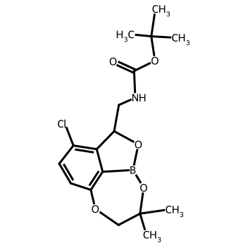 CC(C)(C)OC(=O)NCC1OB2OC(C)(C)COc3ccc(Cl)c1c32